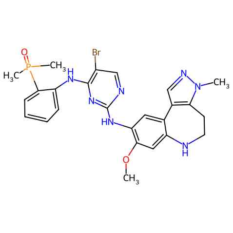 COc1cc2c(cc1Nc1ncc(Br)c(Nc3ccccc3P(C)(C)=O)n1)-c1cnn(C)c1CCN2